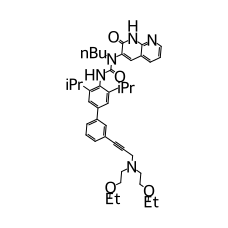 CCCCN(C(=O)Nc1c(C(C)C)cc(-c2cccc(C#CCN(CCOCC)CCOCC)c2)cc1C(C)C)c1cc2cccnc2[nH]c1=O